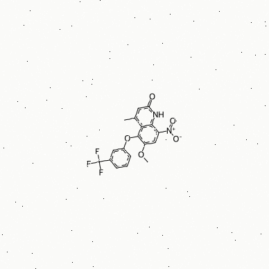 COc1cc([N+](=O)[O-])c2[nH]c(=O)cc(C)c2c1Oc1cccc(C(F)(F)F)c1